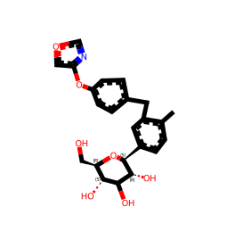 Cc1ccc([C@@H]2O[C@H](CO)[C@@H](O)C(O)[C@H]2O)cc1Cc1ccc(Oc2cocn2)cc1